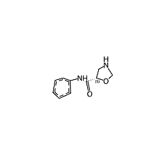 O=C(Nc1ccccc1)[C@@H]1CNCO1